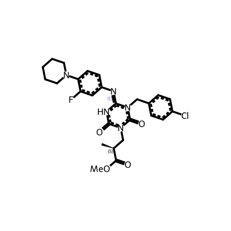 COC(=O)[C@@H](C)Cn1c(=O)[nH]/c(=N\c2ccc(N3CCCCC3)c(F)c2)n(Cc2ccc(Cl)cc2)c1=O